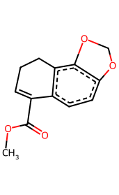 COC(=O)C1=CCCc2c1ccc1c2OCO1